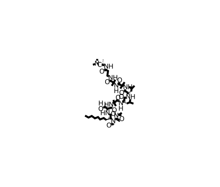 CCCCCCCC[C@@H](C(=O)N[C@H](C(=O)NC(C)(C)C(=O)N[C@@H](CC(C)C)C(=O)N[C@@H](CC(C)C)C(=O)NC(C)(C)C(=O)NC(C)(C)C(=O)NCCC(=O)N[C@@H](C)CN(C)C)[C@@H](C)O)N(C=O)c1coc(C)n1